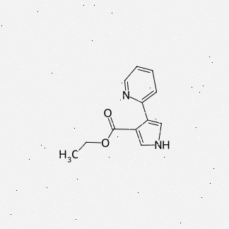 CCOC(=O)c1c[nH]cc1-c1ccccn1